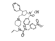 C=CCN(C(=O)NCc1ccc([N+](=O)[O-])cc1)C1CCN(CC2CC(N(C)C(=O)c3ccccc3)CC2c2ccccc2)CC1.Cl